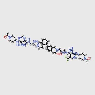 CC(=O)N1CCC(Nc2ncnc3c(NC[C@@H](N)CN4CCc5c(cccc5-c5ccc6c(c5)CN(C[C@@H](O)CNc5n[nH]c7c(NC8CCN(C(C)=O)CC8)ncc(C(F)F)c57)CC6)C4)n[nH]c23)CC1